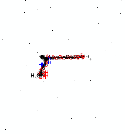 COC(=O)CCOCCOCCOCCOCCOCCOCCOCCOCCNC(=O)c1cc(OCC(=O)NCCOCCO[C@@H]2O[C@@H](C)[C@H](O)[C@@H](O)[C@H]2O)cc(-c2ccccc2)c1